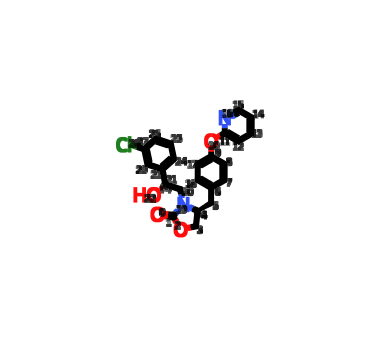 O=C1OC[C@H](Cc2ccc(Oc3ccccn3)cc2)N1C[C@H](O)c1cccc(Cl)c1